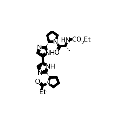 C[CH]C(=O)N1CCC[C@H]1c1ncc(-c2cnc([C@@H]3CCCN3C(=O)[C@@H](C)NC(=O)OCC)[nH]2)[nH]1